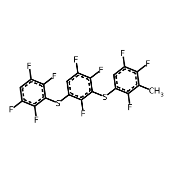 Cc1c(F)c(F)cc(Sc2c(F)c(F)cc(Sc3c(F)c(F)cc(F)c3F)c2F)c1F